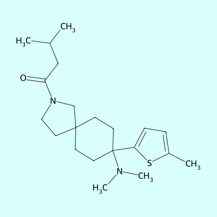 Cc1ccc(C2(N(C)C)CCC3(CCN(C(=O)CC(C)C)C3)CC2)s1